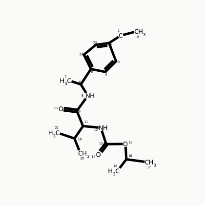 CCc1ccc(C(C)NC(=O)C(NC(=O)OC(C)C)C(C)C)cc1